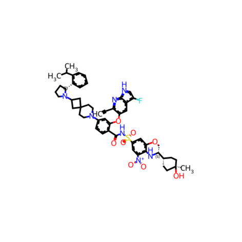 C#Cc1nc2[nH]cc(F)c2cc1Oc1cc(N2CCC3(CC2)CC(N2CCC[C@@H]2c2ccccc2C(C)C)C3)ccc1C(=O)NS(=O)(=O)c1cc2c(c([N+](=O)[O-])c1)N[C@@H]([C@H]1CC[C@](C)(O)CC1)CO2